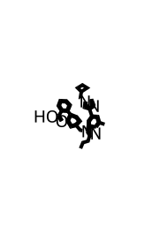 CCCc1nc2c(C)cc(-c3cn(CC4CCC4)cn3)cc2n1Cc1ccc(-c2ccccc2C(=O)O)cc1